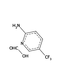 Nc1ccc(C(F)(F)F)cn1.O=CO